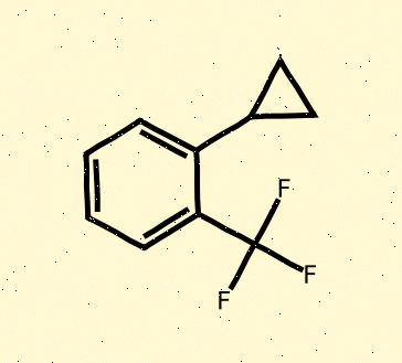 FC(F)(F)c1ccccc1C1[CH]C1